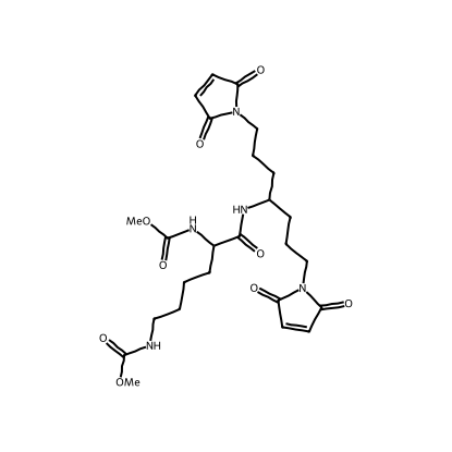 COC(=O)NCCCCC(NC(=O)OC)C(=O)NC(CCCN1C(=O)C=CC1=O)CCCN1C(=O)C=CC1=O